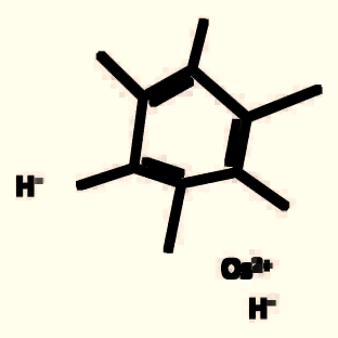 Cc1c(C)c(C)c(C)c(C)c1C.[H-].[H-].[Os+2]